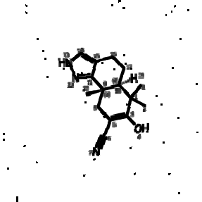 CC1(C)C(O)=C(C#N)C[C@]2(C)c3n[nH]cc3CC[C@@H]12